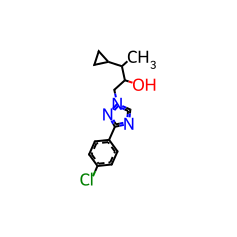 CC(C(O)Cn1cnc(-c2ccc(Cl)cc2)n1)C1CC1